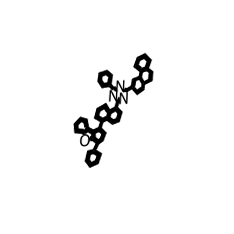 C1=CC2C=Cc3ccccc3C2C=C1c1nc(-c2ccccc2)nc(-c2cccc3c(-c4ccc(-c5ccccc5)c5oc6ccccc6c45)cccc23)n1